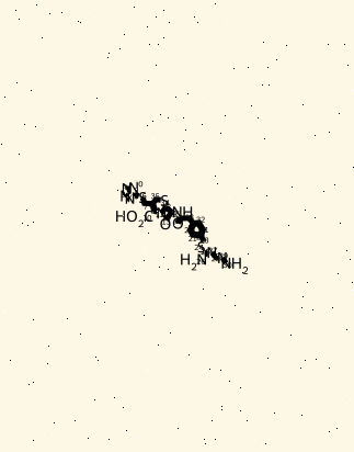 Cn1nnnc1SCC1=C(C(=O)O)N2C(=O)C(NC(=O)Cc3ccc(CSC(N)=NC=NN)cc3)C2SC1